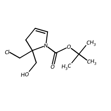 CC(C)(C)OC(=O)N1C=CCC1(CO)CCl